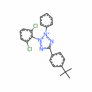 CC(C)(C)c1ccc(-c2nn(-c3c(Cl)cccc3Cl)[n+](-c3ccccc3)n2)cc1